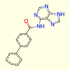 O=C(Nc1ncnc2[nH]cnc12)c1ccc(-c2ccccc2)cc1